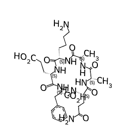 C[C@H](NC(=O)[C@H](C)NC(=O)[C@@H](N)CCC(N)=O)C(=O)N[C@@H](CCCCN)C(=O)N[C@@H](CCC(=O)O)C(=O)N[C@@H](Cc1ccccc1)C(=O)O